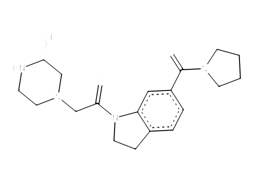 C[C@@H]1CN(CC(=O)N2CCc3ccc(C(=O)N4CCCC4)cc32)CCN1